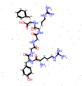 N=C(N)NCCC[C@H](NC(=O)CNC(=O)CNC(=O)[C@H](Cc1ccc(O)cc1)NC(=O)[C@@H](N)CCCNC(=N)N)C(=O)N[C@@H](Cc1ccccc1)C(=O)O